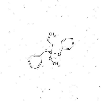 C=CC[Si](OC)(Oc1ccccc1)Oc1ccccc1